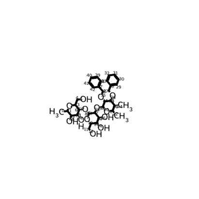 CC1OC(CO)[C@@H](O[C@@H]2OC(CO)[C@H](O)[C@H](O)C2O[C@@H]2OC(C)[C@@H](C)[C@H](OCc3ccccc3)C2OCc2ccccc2)[C@H](O)C1O